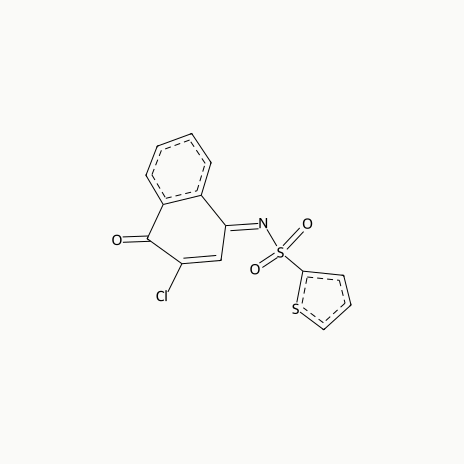 O=C1C(Cl)=CC(=NS(=O)(=O)c2cccs2)c2ccccc21